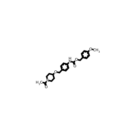 COc1ccc(COC(=O)Nc2ccc(COC3CCN(C(C)=O)CC3)cc2)cc1